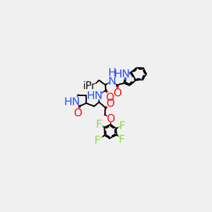 CC(C)CC(NC(=O)c1cc2ccccc2[nH]1)C(=O)NC(CC1CCNC1=O)C(=O)COc1c(F)c(F)cc(F)c1F